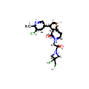 N#Cc1ncc(-c2csc3ccn(CC(=O)N4CC(F)(CF)C4)c(=O)c23)cc1Cl